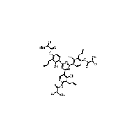 C=CCc1c(OC(=O)C(CC)CCCC)ccc(-c2nc(-c3ccc(OC(=O)C(CC)CCCC)c(CC=C)c3O)nc(-c3ccc(OC(=O)C(CC)CCCC)c(CC=C)c3O)n2)c1O